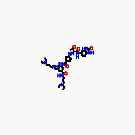 CCN(CC)CCCNCc1cc(NC(=O)c2ccc(/N=N/C(C(C)=O)C(=O)Nc3ccc4[nH]c(=O)[nH]c4c3)cc2)cc(C(=O)NCCCN(CC)CC)c1